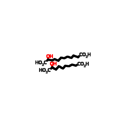 O=C(O)CCCCCCCC(O)C(=O)O.O=C(O)CCCCCCCCCC(O)C(=O)O